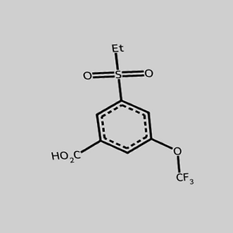 CCS(=O)(=O)c1cc(OC(F)(F)F)cc(C(=O)O)c1